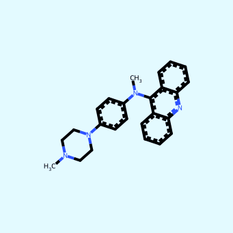 CN1CCN(c2ccc(N(C)c3c4ccccc4nc4ccccc34)cc2)CC1